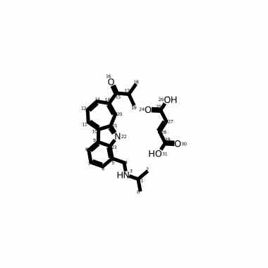 CC(C)NCc1cccc2c3cccc(C(=O)C(C)C)cc-3nc12.O=C(O)/C=C/C(=O)O